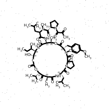 CCC(C)[C@H]1NC(=O)[C@@H](NC(=O)C(CC(C)C)N(C)C(=O)[C@@H]2CCCN2C(=O)C(C)=O)[C@@H](C)OC(=O)[C@H](Cc2ccc(OC)cc2)N(C)C(=O)[C@@H]2CCCN2C(=O)[C@H](CC(C)C)NC(=O)[C@@H](C)C(=O)[C@H](C(C)C)OC(=O)C[C@@H]1O